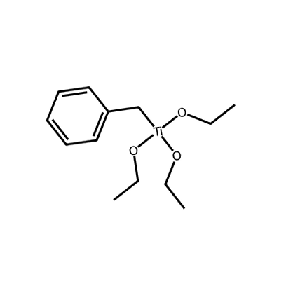 CC[O][Ti]([CH2]c1ccccc1)([O]CC)[O]CC